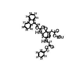 CC(C)(C)OC(=O)CNC(=O)C(CC(=O)NCC(=O)OCc1ccccc1)NC(=O)OCC1c2ccccc2-c2ccccc21